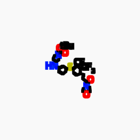 CC(C)(C)OC(=O)N1CCC(Nc2cccc(Sc3ccc(C=CC(=O)N4CCOCC4)c(C(F)(F)F)c3C(F)(F)F)c2)C1